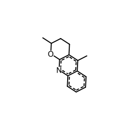 Cc1c2c(nc3ccccc13)OC(C)CC2